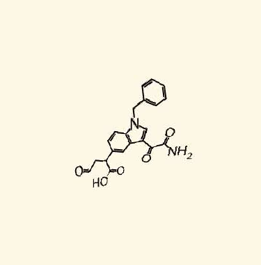 NC(=O)C(=O)c1cn(Cc2ccccc2)c2ccc(C(CC=O)C(=O)O)cc12